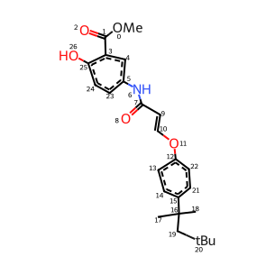 COC(=O)c1cc(NC(=O)C=COc2ccc(C(C)(C)CC(C)(C)C)cc2)ccc1O